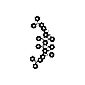 c1ccc(N(c2ccccc2)c2ccc3cc4oc5c6c7c(cc5c4cc3c2)N(c2ccccc2)c2cc3c(cc2B7c2ccccc2O6)B2c4ccccc4N(c4ccccc4)c4c2c(cc2c4oc4cc5ccc(N(c6ccccc6)c6ccccc6)cc5cc42)N3c2ccccc2)cc1